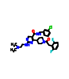 CN(C)CCNc1ncc(C(=O)NCc2cccc(Cl)c2)c(C2CCN(C(=O)Cc3c(F)cccc3F)CC2)n1